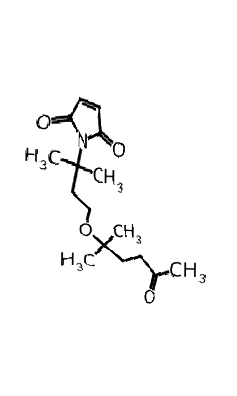 CC(=O)CCC(C)(C)OCCC(C)(C)N1C(=O)C=CC1=O